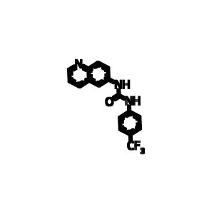 O=C(Nc1ccc(C(F)(F)F)cc1)Nc1ccc2ncccc2c1